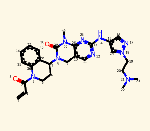 C=CC(=O)N1CCC(N2Cc3cnc(Nc4cnn(CCN(C)C)c4)nc3N(C)C2=O)c2ccccc21